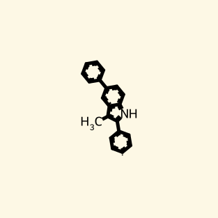 Cc1c(-c2cc[c]cc2)[nH]c2ccc(-c3ccccc3)cc12